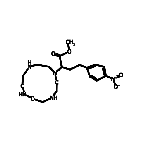 COC(=O)C(CCc1ccc([N+](=O)[O-])cc1)N1CCNCCNCCNCC1